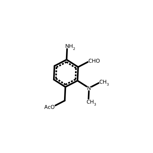 CC(=O)OCc1ccc(N)c(C=O)c1N(C)C